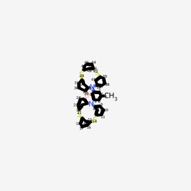 Cc1cc2c3c(c1)N1c4cccc(c4)Sc4cccc(c4)Sc4ccc(c1c4)B3c1ccc3cc1N2c1cccc(c1)Sc1cccc(c1)S3